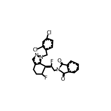 O=C1c2ccccc2C(=O)N1CC(F)=C1c2c(cnn2Cc2ccc(Cl)cc2Cl)CCC1F